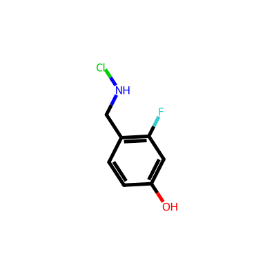 Oc1ccc(CNCl)c(F)c1